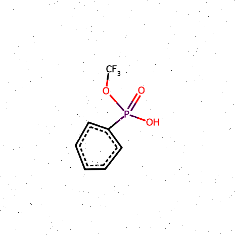 O=P(O)(OC(F)(F)F)c1ccccc1